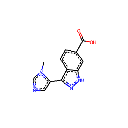 Cn1cncc1-c1n[nH]c2cc(C(=O)O)ccc12